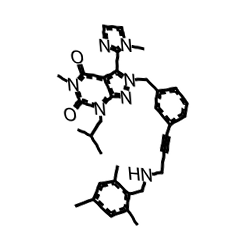 Cc1cc(C)c(CNCC#Cc2cccc(Cn3nc4c(c3-c3nccn3C)c(=O)n(C)c(=O)n4CC(C)C)c2)c(C)c1